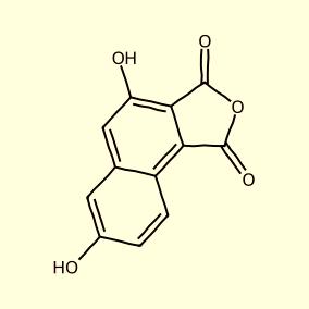 O=C1OC(=O)c2c1c(O)cc1cc(O)ccc21